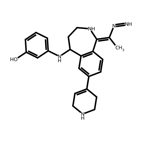 C/C(N=N)=C1/NCCC(Nc2cccc(O)c2)c2cc(C3=CCNCC3)ccc21